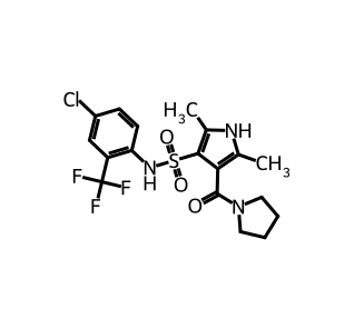 Cc1[nH]c(C)c(S(=O)(=O)Nc2ccc(Cl)cc2C(F)(F)F)c1C(=O)N1CCCC1